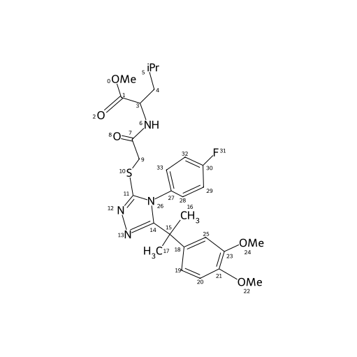 COC(=O)C(CC(C)C)NC(=O)CSc1nnc(C(C)(C)c2ccc(OC)c(OC)c2)n1-c1ccc(F)cc1